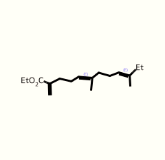 C=C(CC/C=C(\C)CC/C=C(\C)CC)C(=O)OCC